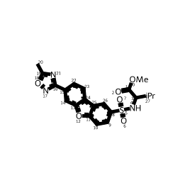 COC(=O)C(NS(=O)(=O)c1ccc2oc3cc(-c4noc(C)n4)ccc3c2c1)C(C)C